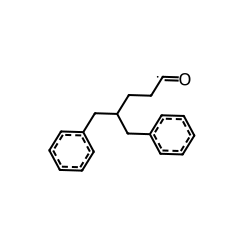 O=[C]CCC(Cc1ccccc1)Cc1ccccc1